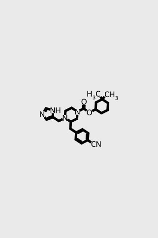 CC1(C)CCCC(OC(=O)N2CCN(Cc3cnc[nH]3)C(Cc3ccc(C#N)cc3)C2)C1